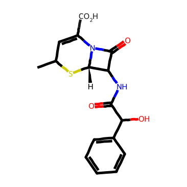 CC1C=C(C(=O)O)N2C(=O)C(NC(=O)C(O)c3ccccc3)[C@@H]2S1